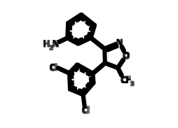 Nc1cccc(C2=NOC(C(F)(F)F)C2c2cc(Cl)cc(Cl)c2)c1